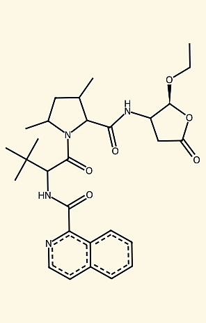 CCO[C@H]1OC(=O)CC1NC(=O)C1C(C)CC(C)N1C(=O)C(NC(=O)c1nccc2ccccc12)C(C)(C)C